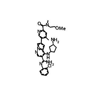 COCCN(C)C(=O)c1cc(C)c(-c2cc3c(N[C@@H]4CC[C@H](N)C4)c(/C(N)=N/c4ccccc4Cl)cnn3c2)cn1